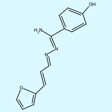 NC(=NN=CC=Cc1ccco1)c1ccc(O)cc1